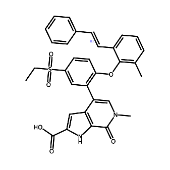 CCS(=O)(=O)c1ccc(Oc2c(C)cccc2/C=C/c2ccccc2)c(-c2cn(C)c(=O)c3[nH]c(C(=O)O)cc23)c1